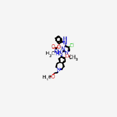 CNC(=O)OC1C2C=CC(C2)C1Nc1nc(Nc2cc3c(cc2OC)CCN(CCOC)CC3)ncc1Cl